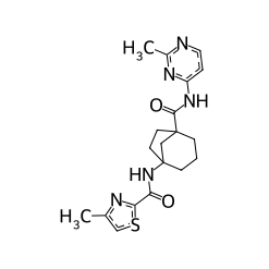 Cc1csc(C(=O)NC23CCCC(C(=O)Nc4ccnc(C)n4)(CC2)C3)n1